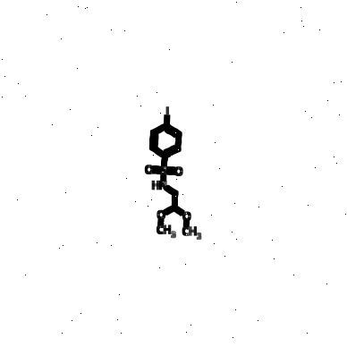 COC(CNS(=O)(=O)c1ccc(I)cc1)OC